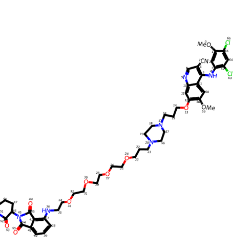 COc1cc(Nc2c(C#N)cnc3cc(OCCCN4CCN(CCCOCCOCCOCCOCCNc5cccc6c5C(=O)N(C5CCC(=O)NC5=O)C6=O)CC4)c(OC)cc23)c(Cl)cc1Cl